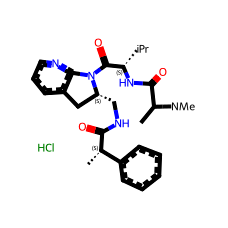 CNC(C)C(=O)N[C@H](C(=O)N1c2ncccc2C[C@H]1CNC(=O)[C@@H](C)c1ccccc1)C(C)C.Cl